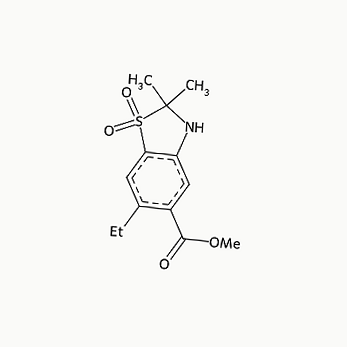 CCc1cc2c(cc1C(=O)OC)NC(C)(C)S2(=O)=O